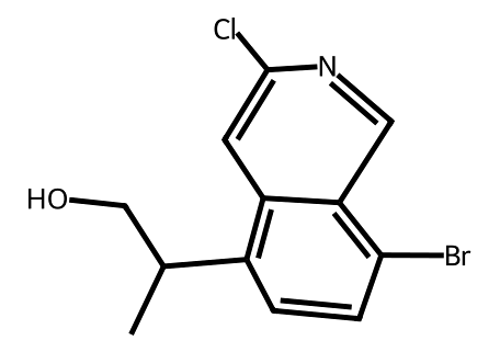 CC(CO)c1ccc(Br)c2cnc(Cl)cc12